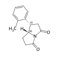 Cc1ccccc1[C@@H]1CC(=O)N2C(=O)CC[C@H]12